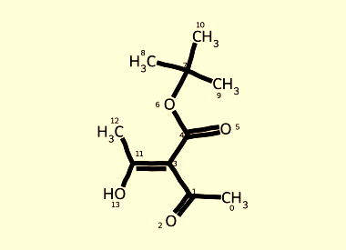 CC(=O)C(C(=O)OC(C)(C)C)=C(C)O